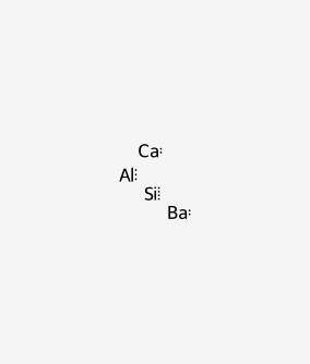 [Al].[Ba].[Ca].[Si]